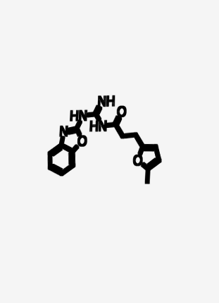 Cc1ccc(CCC(=O)NC(=N)Nc2nc3ccccc3o2)o1